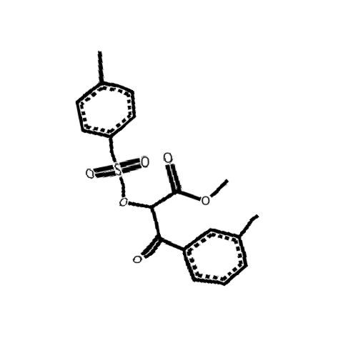 COC(=O)C(OS(=O)(=O)c1ccc(C)cc1)C(=O)c1cccc(C)c1